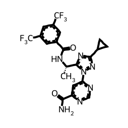 C[C@H](NC(=O)c1cc(C(F)(F)F)cc(C(F)(F)F)c1)c1nc(C2CC2)nn1-c1cc(C(N)=O)ncn1